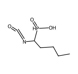 CCCCC(N=C=O)[PH](=O)O